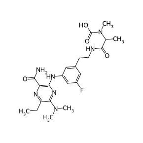 CCc1nc(C(N)=O)c(Nc2cc(F)cc(CCNC(=O)C(C)N(C)C(=O)O)c2)nc1N(C)C